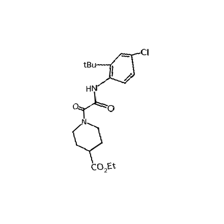 CCOC(=O)C1CCN(C(=O)C(=O)Nc2ccc(Cl)cc2C(C)(C)C)CC1